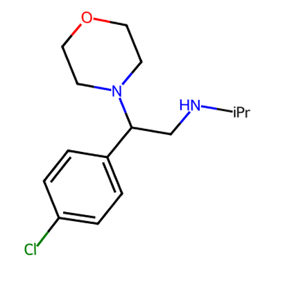 CC(C)NCC(c1ccc(Cl)cc1)N1CCOCC1